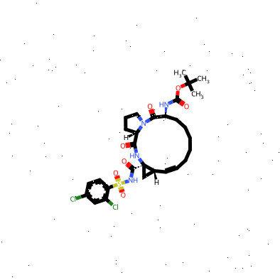 CC(C)(C)OC(=O)N[C@H]1CCCCC/C=C\[C@@H]2C[C@@]2(C(=O)NS(=O)(=O)c2ccc(Cl)cc2Cl)NC(=O)[C@@H]2CCCN2C1=O